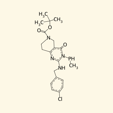 CPn1c(NCc2ccc(Cl)cc2)nc2c(c1=O)CN(C(=O)OC(C)(C)C)CC2